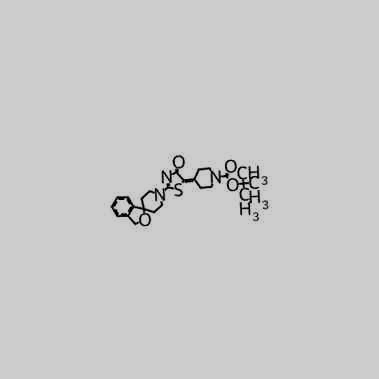 CC(C)(C)OC(=O)N1CCC(=C2SC(N3CCC4(CC3)OCc3ccccc34)=NC2=O)CC1